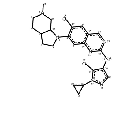 CN1CCC2CCN(c3cc4nc(Nc5cnn(C6CC6)c5Cl)ncc4cc3Cl)C2C1